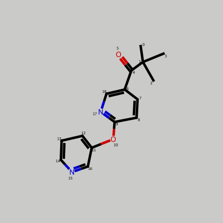 CC(C)(C)C(=O)c1ccc(Oc2cccnc2)nc1